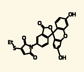 CCSC1=CC(=O)N(c2ccc3c(c2)C(=O)OC32c3ccc(O)cc3Oc3cc(O)ccc32)C1=O